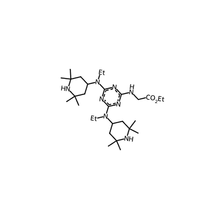 CCOC(=O)CNc1nc(N(CC)C2CC(C)(C)NC(C)(C)C2)nc(N(CC)C2CC(C)(C)NC(C)(C)C2)n1